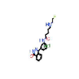 Cl.O=C(CCCCNCCF)Nc1cccc(-c2n[nH]c(=O)c3ccccc23)c1